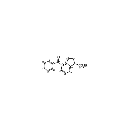 CCOC(=O)C1CSc2c(C(=O)c3ccccc3)cccc21